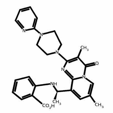 Cc1cc([C@@H](C)Nc2ccccc2C(=O)O)c2nc(N3CCN(c4ccccn4)CC3)c(C)c(=O)n2c1